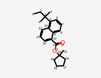 CCC(C)(C)c1cccc2c(C(=O)OC3(C)CCCC3)cccc12